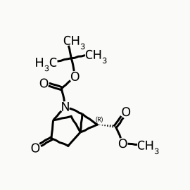 COC(=O)[C@H]1C2N(C(=O)OC(C)(C)C)C3CC21CC3=O